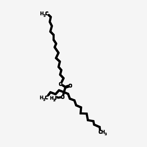 CCCCCCCCCCCCCCCCOC(=O)C(CCCC)(CCCCCCCCCCCC)OP